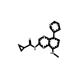 CNc1ccc(-c2cccnc2)c2ncc(NC(=O)C3CC3)nc12